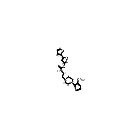 COc1cccnc1N1CCN(CCNC(=O)Oc2cc(-c3ccco3)on2)CC1